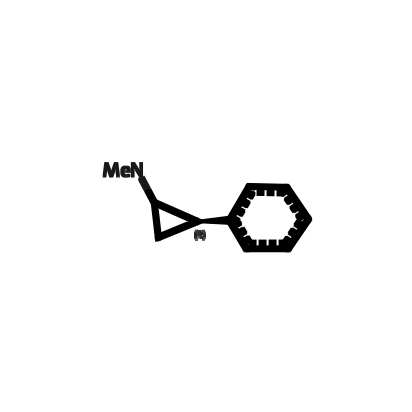 CNC1C[C@@H]1c1ccccc1